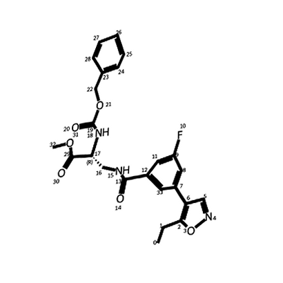 CCc1oncc1-c1cc(F)cc(C(=O)NC[C@@H](NC(=O)OCc2ccccc2)C(=O)OC)c1